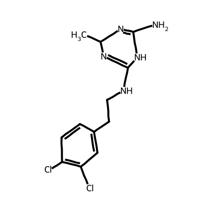 CC1N=C(N)NC(NCCc2ccc(Cl)c(Cl)c2)=N1